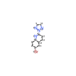 Brc1ccc2nc(-n3nccn3)ccc2c1